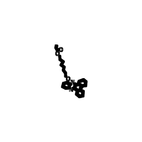 C=CC(=O)OCCCCCCCCOc1cccc2nc3c4ccccc4c4ccccc4c3nc12